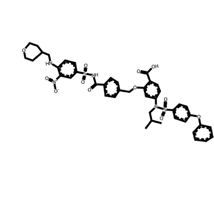 CC(C)CN(c1ccc(C(=O)O)c(OCc2ccc(C(=O)NS(=O)(=O)c3ccc(NCC4CCOCC4)c([N+](=O)[O-])c3)cc2)c1)S(=O)(=O)c1ccc(Oc2ccccc2)cc1